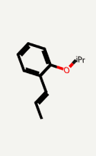 C/C=C/c1ccccc1OC(C)C